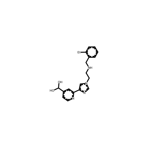 CCc1ccccc1CNCCn1cnc(-c2cc(C(O)O)ccn2)c1